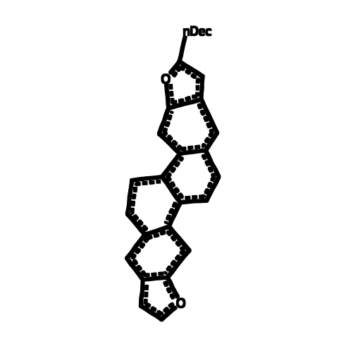 CCCCCCCCCCc1cc2cc3ccc4c5cc6occc6cc5ccc4c3cc2o1